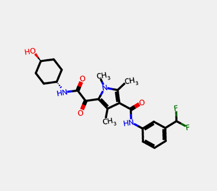 Cc1c(C(=O)Nc2cccc(C(F)F)c2)c(C)n(C)c1C(=O)C(=O)N[C@H]1CC[C@H](O)CC1